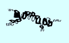 CC(C)c1ccc(N(c2ccc3c(ccc4c5ccc6c7ccc8cc(N(c9ccc(C(C)C)cc9)c9ccc%10oc%11c(C(C)(C)C)cccc%11c%10c9)ccc8c7oc6c5oc34)c2)c2ccc3oc4c(C(C)(C)C)cccc4c3c2)cc1